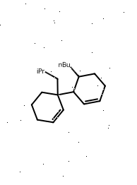 CCCC[C]1CCC=CC1C1(CC(C)C)C=CCCC1